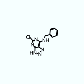 Clc1nc(NCc2ccccc2)c2nn[nH]c2n1